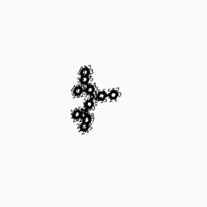 c1ccc(-c2ccc(N(c3ccc(-n4c5ccccc5c5c6ccccc6ccc54)cc3)c3ccc(-c4ccc5ccccc5c4)c(-c4ccccc4)c3)cc2)cc1